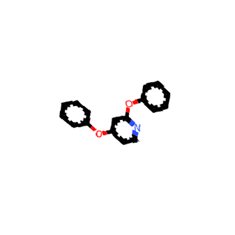 [c]1cc(Oc2ccccc2)cc(Oc2ccccc2)n1